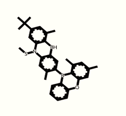 CSN1c2cc(C)c(B3c4ccccc4Oc4cc(C)cc(C)c43)cc2Bc2c(C)cc(C(C)(C)C)cc21